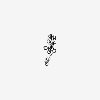 CC(=O)N1CCC(C#Cc2cccc3nc(C(C)NC(=O)c4c(C)nn5cccnc45)n(-c4ccccc4)c(=O)c23)CC1